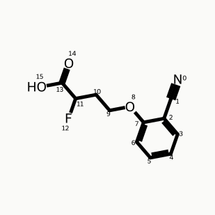 N#Cc1ccccc1OCCC(F)C(=O)O